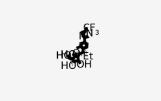 CC[C@H](c1ccc(-c2cnc(C(F)(F)F)cn2)cc1C)[C@H]1OC2(O)C(CO)[C@@H](O)C(O)C12